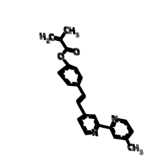 C=C(C)C(=O)Oc1ccc(/C=C/c2ccnc(-c3cc(C)ccn3)c2)cc1